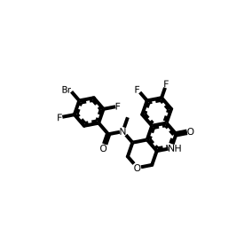 CN(C(=O)c1cc(F)c(Br)cc1F)C1COCc2[nH]c(=O)c3cc(F)c(F)cc3c21